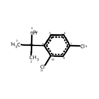 CCCC(C)(C)c1ccc(Cl)cc1Cl